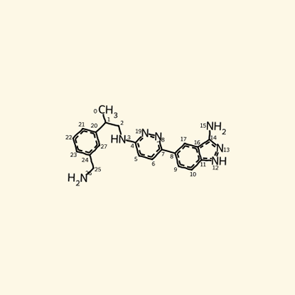 CC(CNc1ccc(-c2ccc3[nH]nc(N)c3c2)nn1)c1cccc(CN)c1